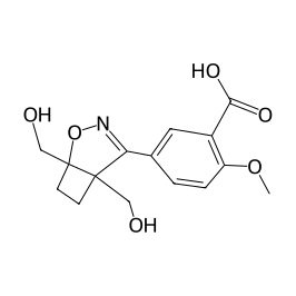 COc1ccc(C2=NOC3(CO)CCC23CO)cc1C(=O)O